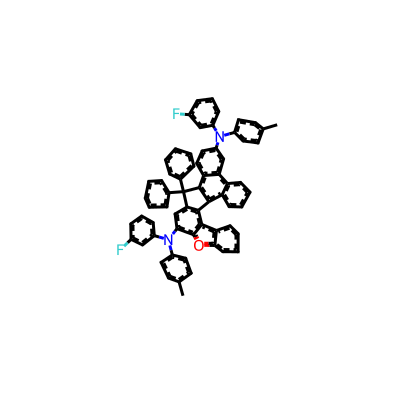 Cc1ccc(N(c2cccc(F)c2)c2ccc3c4c(c5ccccc5c3c2)-c2c(cc(N(c3ccc(C)cc3)c3cccc(F)c3)c3oc5ccccc5c23)C4(c2ccccc2)c2ccccc2)cc1